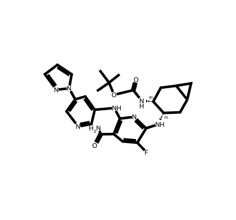 CC(C)(C)OC(=O)N[C@@H]1CC2CC2C[C@@H]1Nc1nc(Nc2cncc(-n3cccn3)c2)c(C(N)=O)cc1F